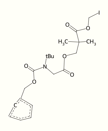 CC(C)(COC(=O)CN(C(=O)OCc1ccccc1)C(C)(C)C)C(=O)OCI